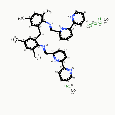 Cc1cc(C)c(N=Cc2cccc(-c3ccccn3)n2)c(Cc2cc(C)cc(C)c2N=Cc2cccc(-c3ccccn3)n2)c1.Cl.Cl.Cl.Cl.[Co].[Co]